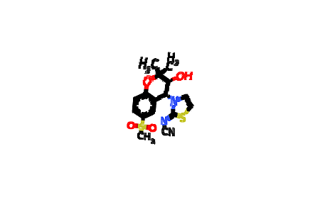 CC1(C)Oc2ccc(S(C)(=O)=O)cc2[C@@H](N2CCSC2=NC#N)[C@@H]1O